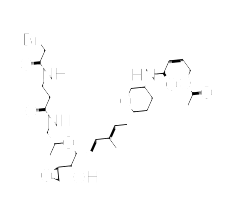 CC(=O)O[C@@H](C)/C=C\C(=O)N[C@@H]1C[C@H](C)[C@H](C/C=C(C)/C=C/[C@H]2O[C@H](CNC(=O)CCNC(=O)CBr)C[C@@]3(CO3)[C@@H]2O)O[C@@H]1C